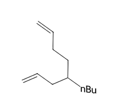 C=CCCC(CC=C)CCCC